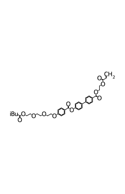 C=CC(=O)OCCOC(=O)c1ccc(-c2ccc(OC(=O)c3ccc(OCCOCCOCCOC(=O)C(C)CC)cc3)cc2)cc1